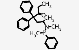 CCC(=O)C(CC(C)N(C)P(C)c1ccccc1)(c1ccccc1)c1ccccc1